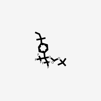 CCC(C)(C)c1ccc(C(OC(=O)OC(C)(C)C)(C(F)(F)F)C(F)(F)F)cc1